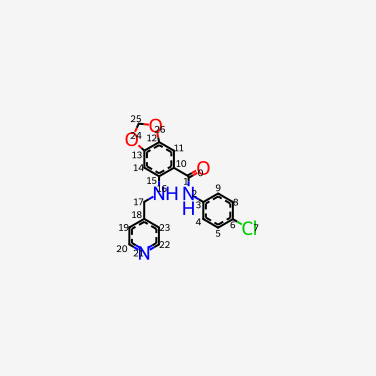 O=C(Nc1ccc(Cl)cc1)c1cc2c(cc1NCc1ccncc1)OCO2